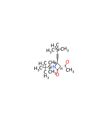 CC(=O)[C@@H]1C(=O)N([Si](C)(C)C(C)(C)C)[C@H]1C#C[Si](C)(C)C